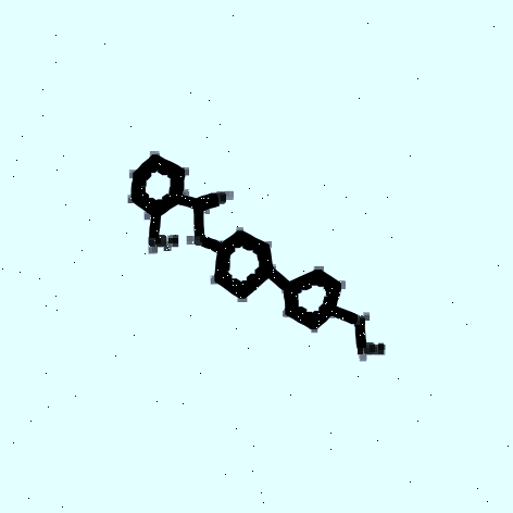 CCCCCCCCOc1ccc(-c2ccc(OC(=O)c3ccccc3C(=O)O)cc2)cc1